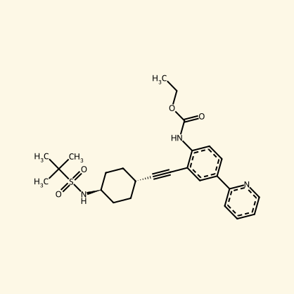 CCOC(=O)Nc1ccc(-c2ccccn2)cc1C#C[C@H]1CC[C@H](NS(=O)(=O)C(C)(C)C)CC1